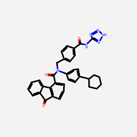 O=C(Nc1nn[nH]n1)c1ccc(CN(C(=O)c2cccc3c2-c2ccccc2C3=O)c2ccc(C3CCCCC3)cc2)cc1